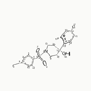 Cc1ccc(S(=O)(=O)N2CCC(O)(c3ccc(Cl)cc3)CC2)cc1